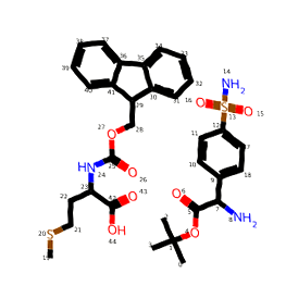 CC(C)(C)OC(=O)C(N)c1ccc(S(N)(=O)=O)cc1.CSCCC(NC(=O)OCC1c2ccccc2-c2ccccc21)C(=O)O